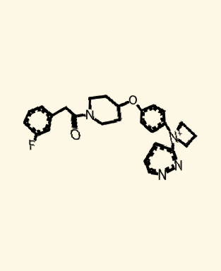 O=C(Cc1cccc(F)c1)N1CCC(Oc2ccc([N+]3(c4cccnn4)CCC3)cc2)CC1